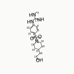 CNC(=N)Nc1ccc(S(=O)(=O)N2CCC(CCO)CC2)cc1